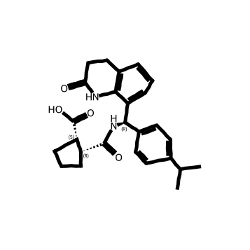 CC(C)c1ccc([C@@H](NC(=O)[C@@H]2CCC[C@@H]2C(=O)O)c2cccc3c2NC(=O)CC3)cc1